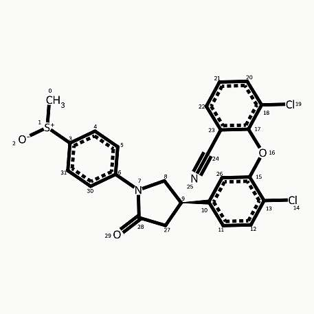 C[S+]([O-])c1ccc(N2C[C@@H](c3ccc(Cl)c(Oc4c(Cl)cccc4C#N)c3)CC2=O)cc1